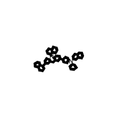 c1ccc(N(c2ccc(-c3ccc4c(c3)Cc3cc(-c5cccc6ccccc56)ccc3N4c3cccc4ccccc34)cc2)c2ccc3ccccc3c2)cc1